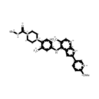 COc1ccc(-c2cc3c(Nc4ccc(N5CCN(C(=O)OC(C)(C)C)CC5)c(C(F)(F)F)c4)c(C(=O)O)cnc3s2)cn1